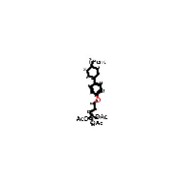 CCCCCC1CCC(c2ccc(OCCC[Si](OC(C)=O)(OC(C)=O)OC(C)=O)cc2)CC1